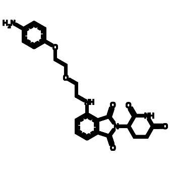 Nc1ccc(OCCOCCNc2cccc3c2C(=O)N(C2CCC(=O)NC2=O)C3=O)cc1